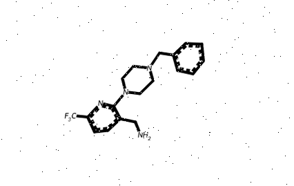 NCc1ccc(C(F)(F)F)nc1N1CCN(Cc2ccccc2)CC1